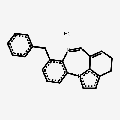 C1=Nc2c(Cc3ccccc3)cccc2-n2ccc3c2C1=CCC3.Cl